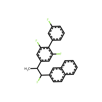 CC(c1cc(F)c(-c2cccc(F)c2)c(F)c1)C(F)c1ccc2ccccc2c1